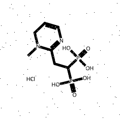 CN1CC=CN=C1CC(P(=O)(O)O)P(=O)(O)O.Cl